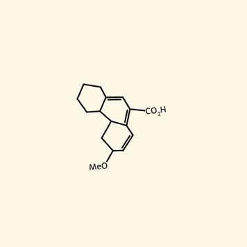 COC1C=CC2=C(C(=O)O)C=C3CCCCC3C2C1